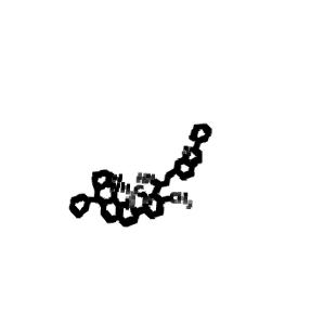 CC1=CC=C(c2ccc3c(n2)C2Nc4ccccc4C(C4C=CC=CC4)=C2C=C3)N(C)C1C(=N)CCc1ccc2ccc(-c3ccccc3)nc2c1